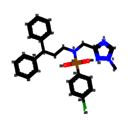 Cn1cnc(CN(CCC(c2ccccc2)c2ccccc2)S(=O)(=O)c2ccc(F)cc2)n1